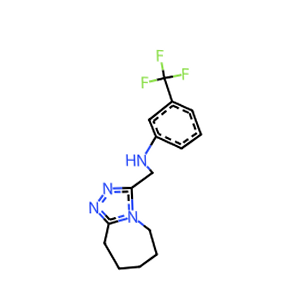 FC(F)(F)c1cccc(NCc2nnc3n2CCCCC3)c1